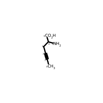 CC#CCC(N)C(=O)O